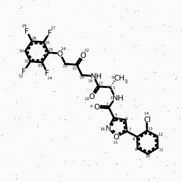 C[C@H](NC(=O)c1cc(-c2ccccc2Cl)on1)C(=O)NCC(=O)COc1c(F)c(F)cc(F)c1F